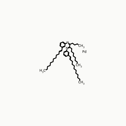 CCCCCCCCCCC=Cc1cccc(N=C(CCCC)C(CCCCCCCC)=Nc2cccc(C=CCCCCCCCCCC)c2)c1.[Pd]